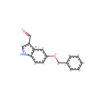 O=Cc1[c][nH]c2ccc(OCc3ccccc3)cc12